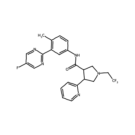 Cc1ccc(NC(=O)C2CN(CC(F)(F)F)CC2c2ccccn2)cc1-c1ncc(F)cn1